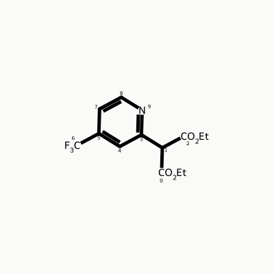 CCOC(=O)C(C(=O)OCC)c1cc(C(F)(F)F)ccn1